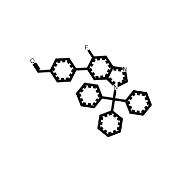 O=Cc1ccc(-c2cc3c(cc2F)ncn3C(c2ccccc2)(c2ccccc2)c2ccccc2)cc1